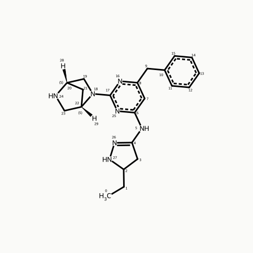 CCC1CC(Nc2cc(Cc3ccccc3)nc(N3C[C@@H]4C[C@H]3CN4)n2)=NN1